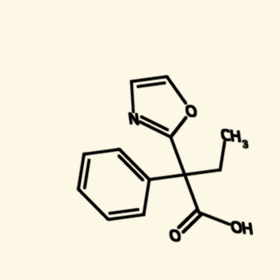 CCC(C(=O)O)(c1ccccc1)c1ncco1